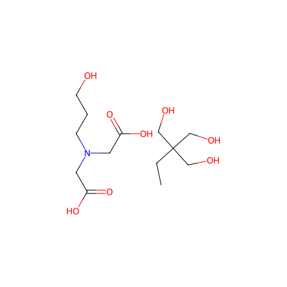 CCC(CO)(CO)CO.O=C(O)CN(CCCO)CC(=O)O